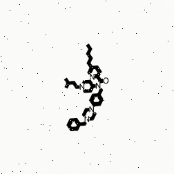 CCCCCc1ccc(C(=O)N(Cc2ccc(N3CCN(Cc4ccccc4)CC3)cc2)C2CCN(CCC(C)C)CC2)nc1